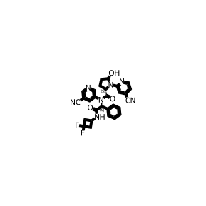 N#Cc1cncc(N(C(=O)[C@@H]2CCC(O)N2c2cc(C#N)ccn2)[C@H](C(=O)NC2CC(F)(F)C2)c2ccccc2)c1